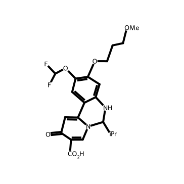 COCCCOc1cc2c(cc1OC(F)F)-c1cc(=O)c(C(=O)O)cn1C(C(C)C)N2